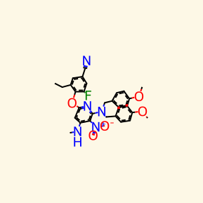 CCc1cc(C#N)cc(F)c1Oc1cc(NC)c([N+](=O)[O-])c(N(Cc2ccc(OC)cc2)Cc2ccc(OC)cc2)n1